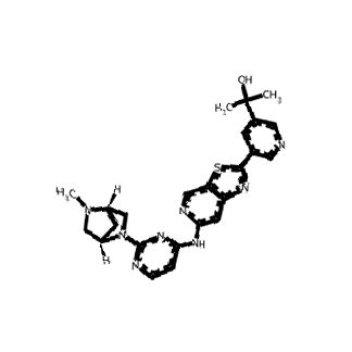 CN1C[C@@H]2C[C@H]1CN2c1nccc(Nc2cc3nc(-c4cncc(C(C)(C)O)c4)sc3cn2)n1